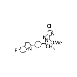 COc1c2ncc(Cl)cc2nn1[C@@H](C)C1CCC(c2ccc3cc(F)ccc3n2)CC1